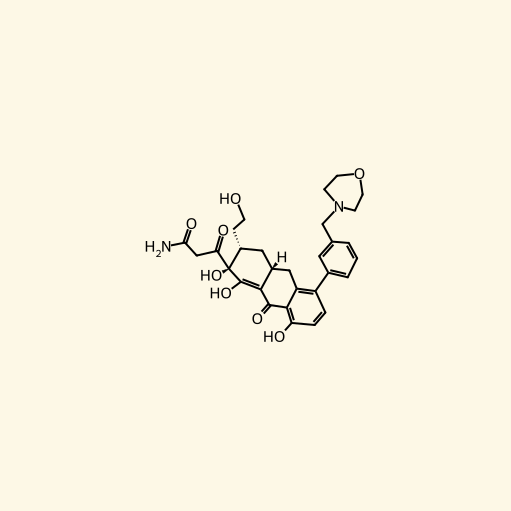 NC(=O)CC(=O)[C@@]1(O)C(O)=C2C(=O)c3c(O)ccc(-c4cccc(CN5CCOCC5)c4)c3C[C@H]2C[C@H]1CCO